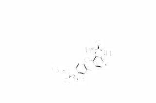 CC(C)(C)OC(=O)Nc1ccc(Oc2ccnc3[nH]c(=O)[nH]c23)c(F)c1